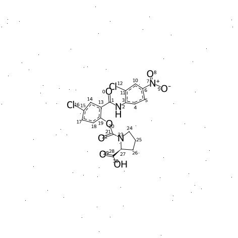 O=C(Nc1ccc([N+](=O)[O-])cc1Cl)c1cc(Cl)ccc1OC(=O)N1CCC[C@H]1C(=O)O